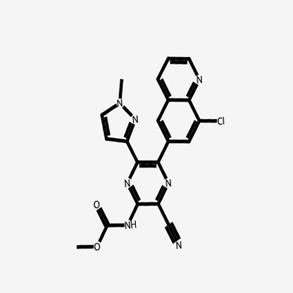 COC(=O)Nc1nc(-c2ccn(C)n2)c(-c2cc(Cl)c3ncccc3c2)nc1C#N